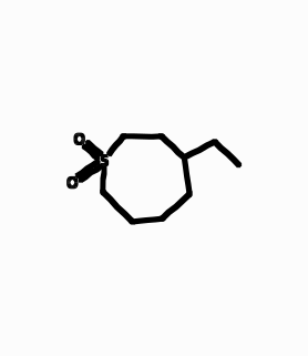 CCC1CCCCS(=O)(=O)CC1